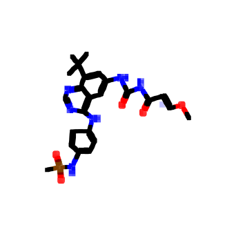 CO/C=C/C(=O)NC(=O)Nc1cc(C(C)(C)C)c2ncnc(Nc3ccc(NS(C)(=O)=O)cc3)c2c1